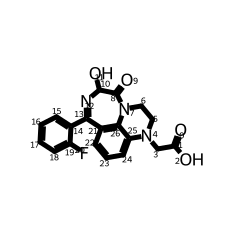 O=C(O)CN1CCN2C(=O)C(O)N=C(c3ccccc3F)c3cccc1c32